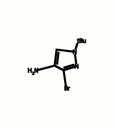 CC(C)(C)n1cc(N)c(Br)n1